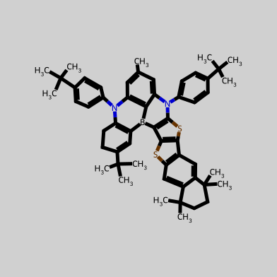 Cc1cc2c3c(c1)N(c1ccc(C(C)(C)C)cc1)c1sc4c(sc5cc6c(cc54)C(C)(C)CCC6(C)C)c1B3C1=C(CCC(C(C)(C)C)=C1)N2c1ccc(C(C)(C)C)cc1